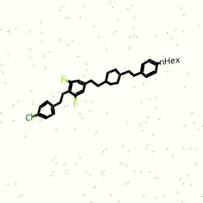 CCCCCCc1ccc(CCC2CCC(CCc3cc(F)c(CCc4ccc(Cl)cc4)c(F)c3)CC2)cc1